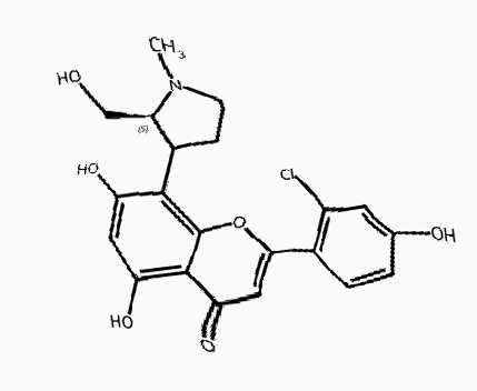 CN1CCC(c2c(O)cc(O)c3c(=O)cc(-c4ccc(O)cc4Cl)oc23)[C@H]1CO